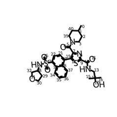 CC1CCN(C(=O)c2nc(C(=O)NCC(C)(C)O)sc2-c2ccc(S(=O)(=O)NC3CCOC3)c3ccccc23)CC1